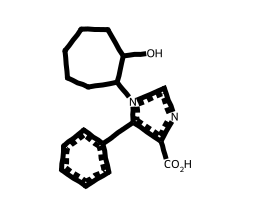 O=C(O)c1ncn(C2CCCCCC2O)c1-c1ccccc1